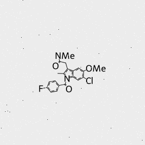 CNC(=O)Cc1c(C)n(C(=O)c2ccc(F)cc2)c2cc(Cl)c(OC)cc12